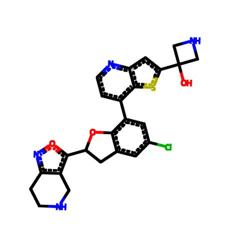 OC1(c2cc3nccc(-c4cc(Cl)cc5c4OC(c4onc6c4CNCC6)C5)c3s2)CNC1